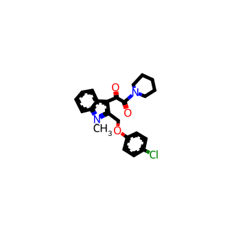 Cn1c(COc2ccc(Cl)cc2)c(C(=O)C(=O)N2CCCCC2)c2ccccc21